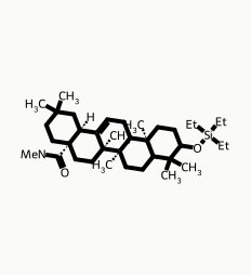 CC[Si](CC)(CC)OC1CC[C@@]2(C)C(CC[C@]3(C)C2CC=C2[C@@H]4CC(C)(C)CC[C@]4(C(=O)NC)CC[C@@]23C)C1(C)C